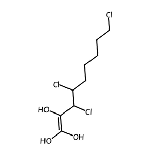 OC(O)=C(O)C(Cl)C(Cl)CCCCCCl